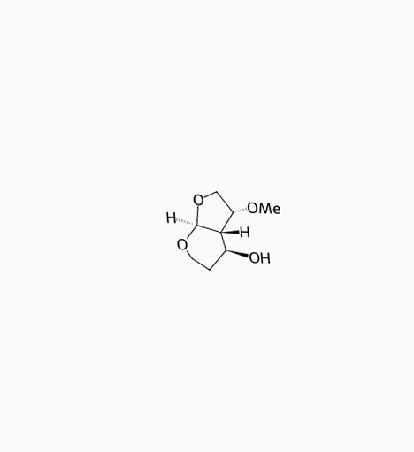 CO[C@H]1CO[C@@H]2OCC[C@H](O)[C@H]21